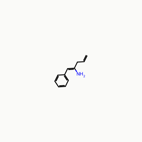 C=CCC(N)=Cc1ccccc1